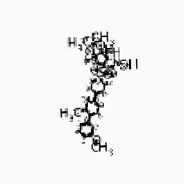 COc1cccc(-c2ccc(C3CCN(S(=O)(=O)[C@@]4(C(=O)NO)C[C@@H]5OC(C)(C)O[C@@H]5C4)CC3)cc2C)c1